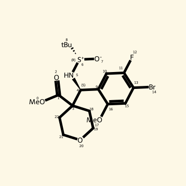 COC(=O)C1([C@@H](N[S@@+]([O-])C(C)(C)C)c2cc(F)c(Br)cc2OC)CCOCC1